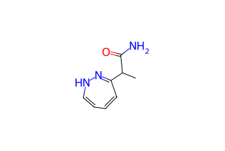 CC(C(N)=O)C1=NNC=CC=C1